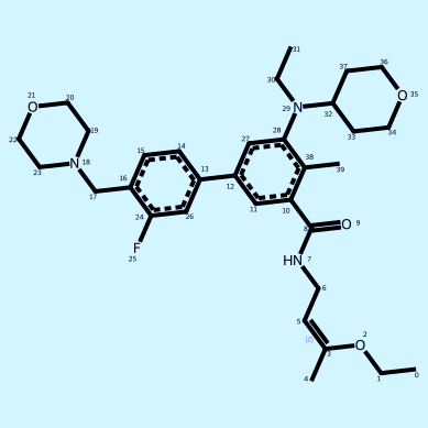 CCO/C(C)=C\CNC(=O)c1cc(-c2ccc(CN3CCOCC3)c(F)c2)cc(N(CC)C2CCOCC2)c1C